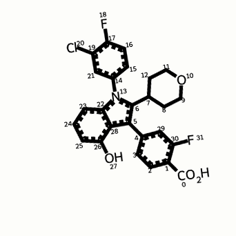 O=C(O)c1ccc(-c2c(C3CCOCC3)n(-c3ccc(F)c(Cl)c3)c3cccc(O)c23)cc1F